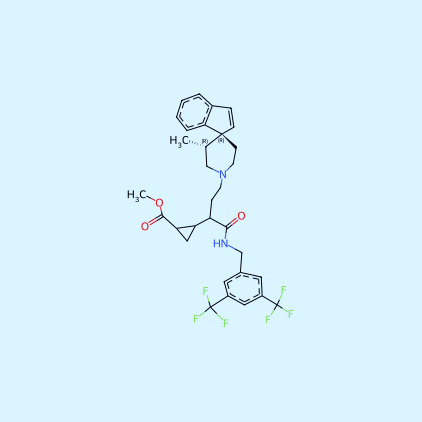 COC(=O)C1CC1C(CCN1CC[C@@]2(C=Cc3ccccc32)[C@@H](C)C1)C(=O)NCc1cc(C(F)(F)F)cc(C(F)(F)F)c1